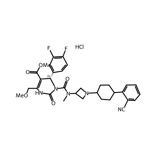 COCC1=C(C(=O)OC)[C@H](c2ccc(F)c(F)c2)N(C(=O)N(C)C2CN(C3CCC(c4ccccc4C#N)CC3)C2)C(=O)N1.Cl